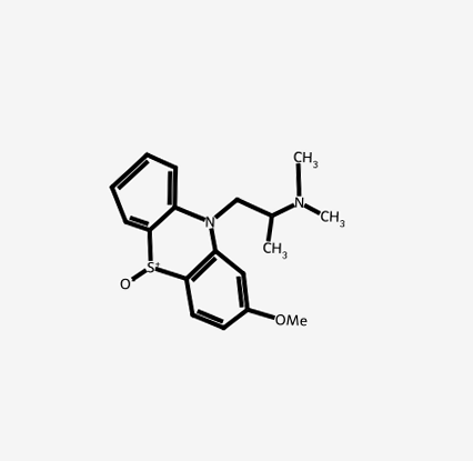 COc1ccc2c(c1)N(CC(C)N(C)C)c1ccccc1[S+]2[O-]